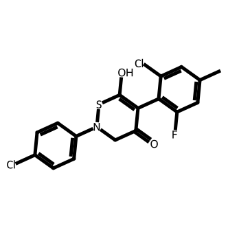 Cc1cc(F)c(C2=C(O)SN(c3ccc(Cl)cc3)CC2=O)c(Cl)c1